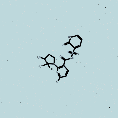 CC1CCN(c2nc(Cl)ccc2C(=O)NS(=O)(=O)c2ccc[nH]c2=O)C1(C)C